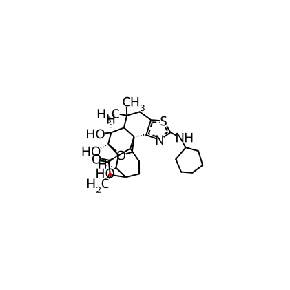 C=C1C(=O)[C@@]23C(CCC1[C@H]2O)[C@@]12CO[C@@]3(O)[C@@H](O)C1C(C)(C)Cc1sc(NC3CCCCC3)nc12